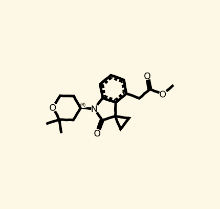 COC(=O)Cc1cccc2c1C1(CC1)C(=O)N2[C@@H]1CCOC(C)(C)C1